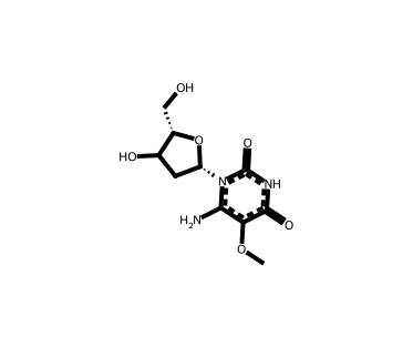 COc1c(N)n([C@@H]2CC(O)[C@H](CO)O2)c(=O)[nH]c1=O